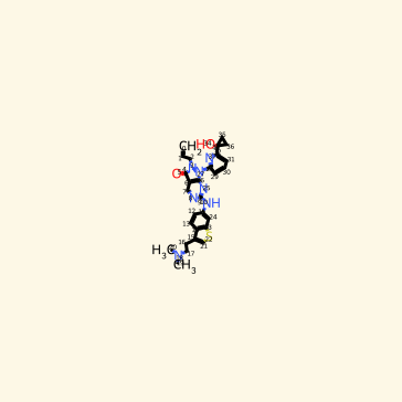 C=CCn1c(=O)c2cnc(Nc3ccc4c(CCN(C)C)csc4c3)nc2n1-c1cccc(C2(O)CC2)n1